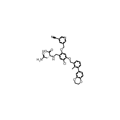 Cc1c(COc2cc(OCc3cncc(C#N)c3)c(CN[C@H](CC(N)=O)C(=O)O)cc2Cl)cccc1-c1ccc2c(c1)OCCO2